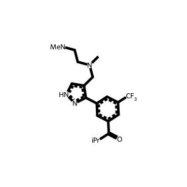 CNCCN(C)Cc1c[nH]nc1-c1cc(C(=O)C(C)C)cc(C(F)(F)F)c1